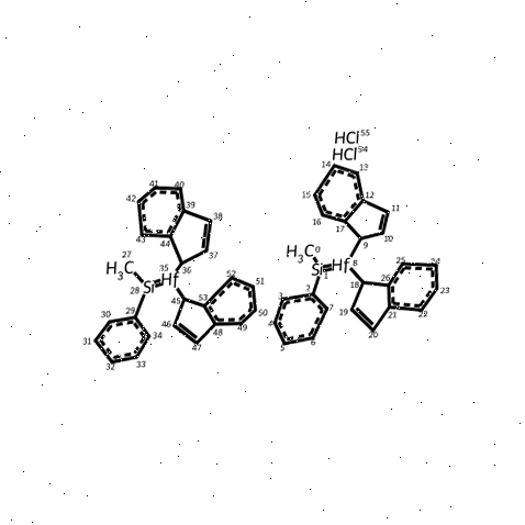 C[Si](c1ccccc1)=[Hf]([CH]1C=Cc2ccccc21)[CH]1C=Cc2ccccc21.C[Si](c1ccccc1)=[Hf]([CH]1C=Cc2ccccc21)[CH]1C=Cc2ccccc21.Cl.Cl